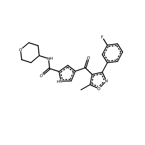 Cc1onc(-c2cccc(F)c2)c1C(=O)c1c[nH]c(C(=O)NC2CCOCC2)c1